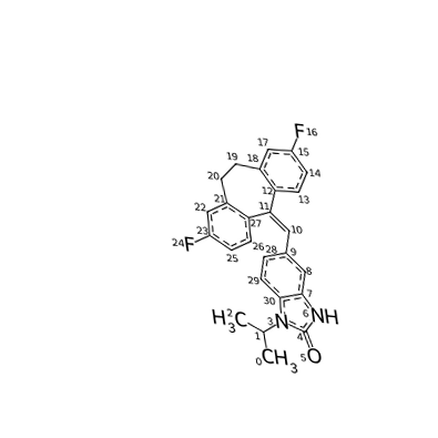 CC(C)n1c(=O)[nH]c2cc(C=C3c4ccc(F)cc4CCc4cc(F)ccc43)ccc21